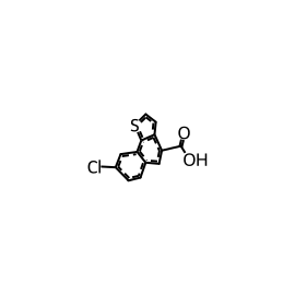 O=C(O)c1cc2ccc(Cl)cc2c2sccc12